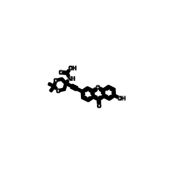 CC1(C)OCC(C#Cc2ccc3c(=O)c4cc(O)ccc4oc3c2)(NC(=O)O)CO1